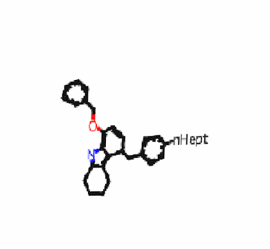 CCCCCCCc1ccc(CC2C=CC(OCc3ccccc3)=C3N=C4CCCCC4=C32)cc1